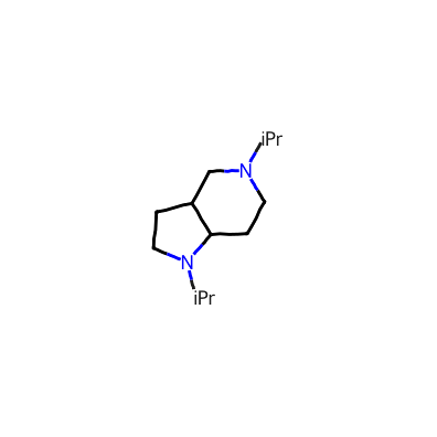 CC(C)N1CCC2C(CCN2C(C)C)C1